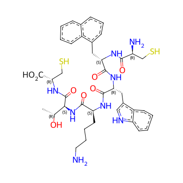 C[C@@H](O)[C@H](NC(=O)[C@H](CCCCN)NC(=O)[C@@H](Cc1c[nH]c2ccccc12)NC(=O)[C@H](Cc1cccc2ccccc12)NC(=O)[C@@H](N)CS)C(=O)N[C@@H](CS)C(=O)O